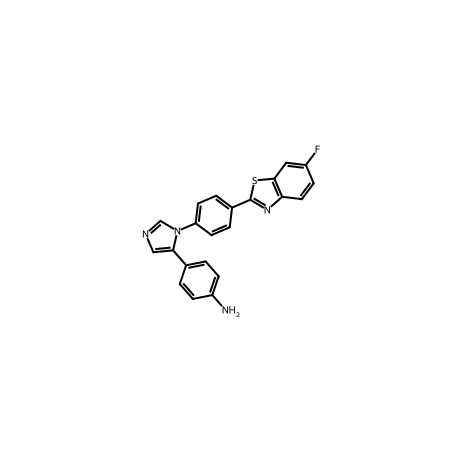 Nc1ccc(-c2cncn2-c2ccc(-c3nc4ccc(F)cc4s3)cc2)cc1